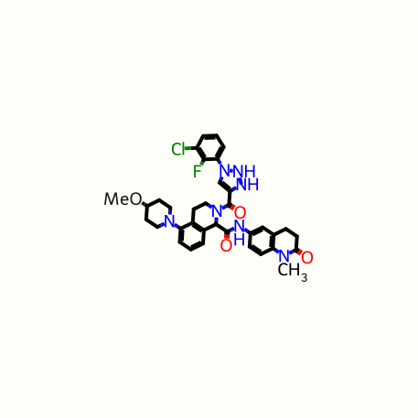 COC1CCN(c2cccc3c2CCN(C(=O)C2=CN(c4cccc(Cl)c4F)NN2)C3C(=O)Nc2ccc3c(c2)CCC(=O)N3C)CC1